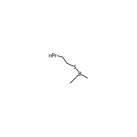 CCCCCSB(C)C